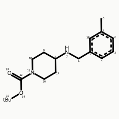 Cc1cccc(CNC2CCN(C(=O)OC(C)(C)C)CC2)c1